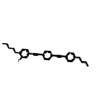 CCCCCc1ccc(C#Cc2ccc(C#Cc3ccc(CCCC)cc3)cc2)cc1F